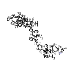 C=N/C=C\c1cc(NC(=O)[C@H](CN)c2ccc(COC(=O)[C@@H](N)CC(=O)OCC(=O)[C@@]3(O)[C@H](C)C[C@H]4[C@@H]5CCC6=CC(=O)C=C[C@]6(C)[C@@]5(F)[C@@H](O)C[C@@]43C)cc2)ccc1C